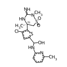 Cc1cccc(NC(O)c2cc(Cl)c([C@]3(C)CS(=O)(=O)N(C)C(=N)N3)s2)n1